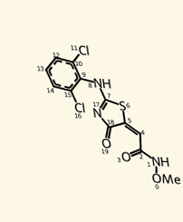 CONC(=O)C=C1SC(Nc2c(Cl)cccc2Cl)=NC1=O